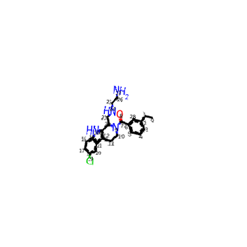 CCc1cccc(C(=O)N2CCc3c([nH]c4ccc(Cl)cc34)C2CNCCN)c1